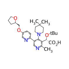 Cc1ncc(-c2ccc(OC[C@H]3CCCO3)cn2)c(N2CCC(C)(C)CC2)c1[C@H](OC(C)(C)C)C(=O)O